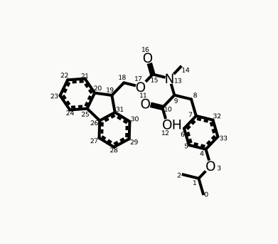 CC(C)Oc1ccc(CC(C(=O)O)N(C)C(=O)OCC2c3ccccc3-c3ccccc32)cc1